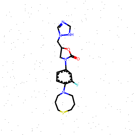 O=C1OC(CN2C=NCN2)CN1c1ccc(N2CCCSCCC2)c(F)c1